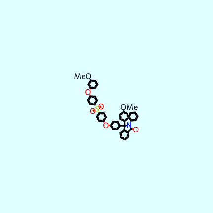 COc1ccc(C2(c3ccc(Oc4ccc(S(=O)(=O)c5ccc(Oc6cccc(OC)c6)cc5)cc4)cc3)c3ccccc3C(=O)N2c2ccccc2)cc1